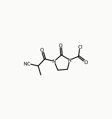 CC(C#N)C(=O)N1CCN(C(=O)Cl)C1=O